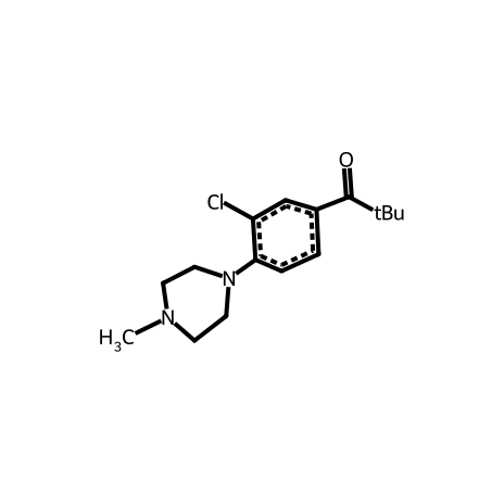 CN1CCN(c2ccc(C(=O)C(C)(C)C)cc2Cl)CC1